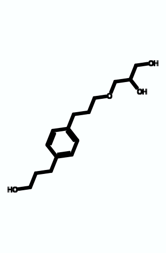 OCCCc1ccc(CCCOCC(O)CO)cc1